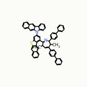 CC1C=C(c2ccc(-c3ccccc3)cc2)C(C)C(c2ccc(-c3ccccc3)cc2)N=C1c1cc(-n2c3ccccc3c3cc4ccccc4cc32)cc2sc3cc4ccccc4cc3c12